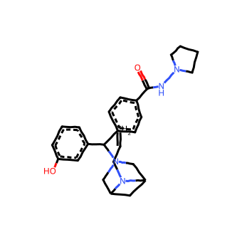 C=CCN1C2CC1CN(C(c1ccc(C(=O)NN3CCCC3)cc1)c1cccc(O)c1)C2